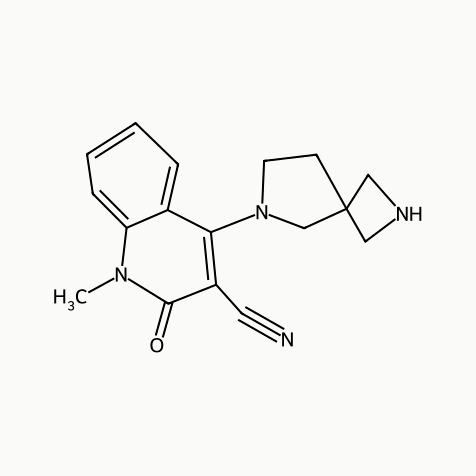 Cn1c(=O)c(C#N)c(N2CCC3(CNC3)C2)c2ccccc21